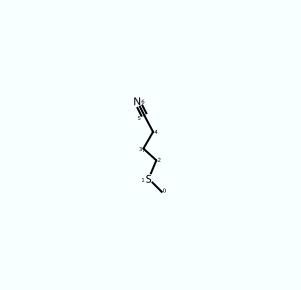 CSC[CH]CC#N